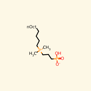 CCCCCCCCCCCC[P+](C)(C)CCCP(=O)([O-])O